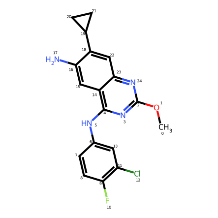 COc1nc(Nc2ccc(F)c(Cl)c2)c2cc(N)c(C3CC3)cc2n1